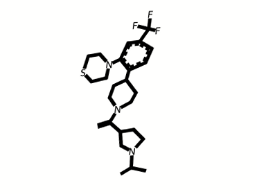 C=C(C1CCN(C(C)C)C1)N1CCC(c2ccc(C(F)(F)F)cc2N2CCSCC2)CC1